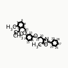 COC(=O)c1c(C)cccc1COc1cccc(OCCc2nc(-c3ccccc3)oc2C)c1